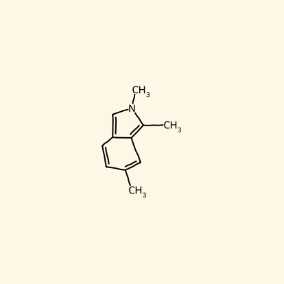 Cc1ccc2cn(C)c(C)c2c1